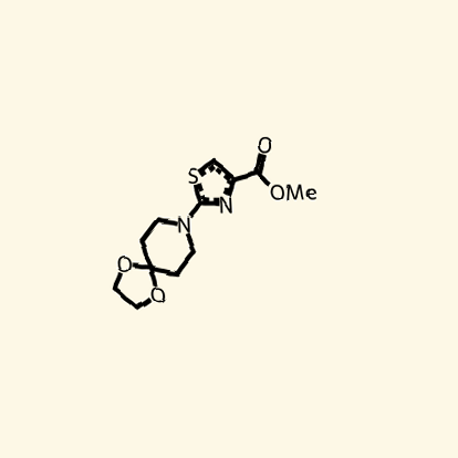 COC(=O)c1csc(N2CCC3(CC2)OCCO3)n1